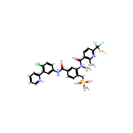 Cc1nc(C(F)(F)P)ccc1C(=O)N(C)c1cc(C(=O)Nc2ccc(Cl)c(-c3ccccn3)c2)ccc1CS(C)(=O)=O